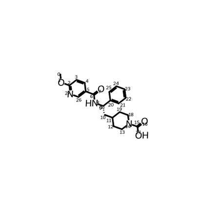 COc1ccc(C(=O)N[C@@H](CC2CCN(C(=O)O)CC2)c2ccccc2)cn1